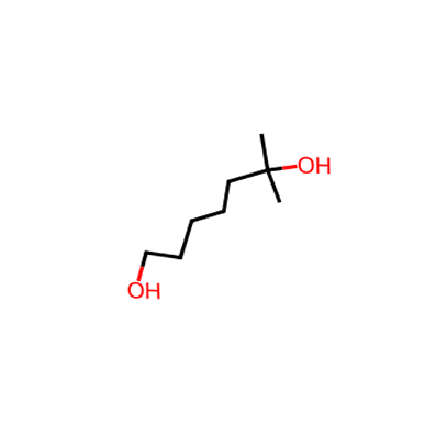 CC(C)(O)CCCCCO